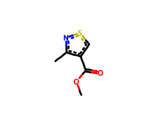 COC(=O)c1csnc1C